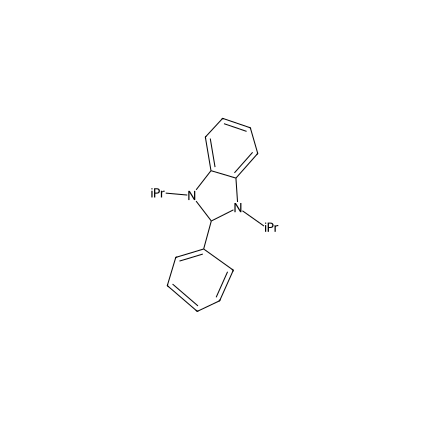 CC(C)N1c2ccccc2N(C(C)C)C1c1ccccc1